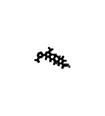 C=C(N)C1=C(C)C(C)[C@]2(C)C[C@]3(C)Cc4c(N(C)C)cc(-c5cccc(C(=C)C)c5)c(C)c4C(=C)C3=C(C)[C@]2(C)C1=C